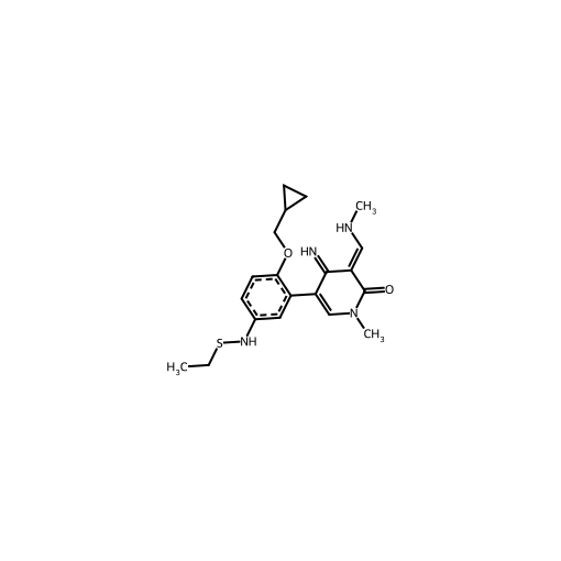 CCSNc1ccc(OCC2CC2)c(C2=CN(C)C(=O)/C(=C/NC)C2=N)c1